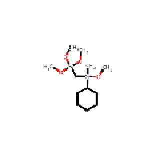 CO[Si](C[Si](C)(OC)C1CCCCC1)(OC)OC